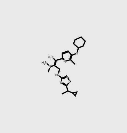 Cc1nc(/C(N)=C(\CNc2noc(C(C)C3CC3)n2)N(C)N)ccc1OC1CCCCC1